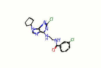 O=C(NCCNc1nc(Cl)nc2c1ncn2C1CCCC1)c1cccc(Cl)c1